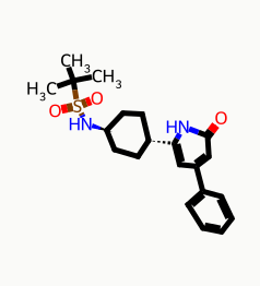 CC(C)(C)S(=O)(=O)N[C@H]1CC[C@H](c2cc(-c3ccccc3)cc(=O)[nH]2)CC1